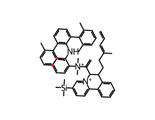 C=C/C=C(\C)CCC1c2ccccc2-c2ccc([Si](C)(C)C)c[n+]2C1C(=C)[N+](C)(C)c1ccccc1Nc1c(-c2c(C)cccc2C)cccc1-c1c(C)cccc1C